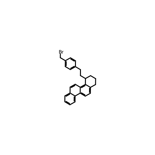 BrCc1ccc(CCC2CCCc3ccc4c(ccc5ccccc54)c32)cc1